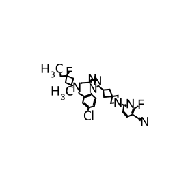 CCC1(F)CC(C)(N2Cc3cc(Cl)ccc3-n3c(nnc3C3CC4(C3)CN(c3ccc(C#N)c(F)n3)C4)C2)C1